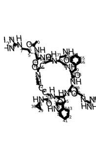 CC(=O)N[C@@H](CCCNC(=N)N)C(=O)N[C@H]1CC(=O)NCCCC[C@@H](C(=O)NC2CC2)NC(=O)[C@H](Cc2c[nH]c3ccccc23)NC(=O)[C@H](CCCNC(=N)N)NC(=O)C(Cc2ccccc2)NC(=O)[C@H](CCN)NC1=O